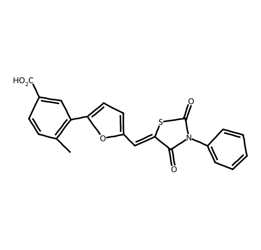 Cc1ccc(C(=O)O)cc1-c1ccc(/C=C2\SC(=O)N(c3ccccc3)C2=O)o1